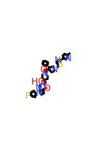 Cc1ccc(-c2ncc(CN3CC[C@@H](C(=O)N4CCC(O)(Cn5cnc6c(ccn6-c6ccc(F)cc6)c5=O)CC4)[C@H](c4ccccc4)C3)s2)cn1